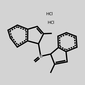 Cl.Cl.[CH2]=[Ti]([CH]1C(C)=Cc2ccccc21)[CH]1C(C)=Cc2ccccc21